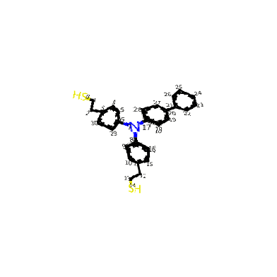 SCCc1ccc(N(c2ccc(CCS)cc2)c2ccc(-c3ccccc3)cc2)cc1